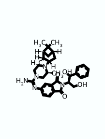 C[C@H]1[C@@H](N2CCN(C(N)=Nc3ccc4c(c3)C(=O)N(C(CO)C(O)c3ccccc3)C4=O)C[C@@H]2C)C[C@@H]2C[C@@H]1C2(C)C